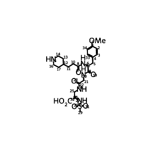 COc1ccc(C[C@H](NC(=O)CCC2CCNCC2)C(=O)NCC(=O)NC[C@H](NS(C)(=O)=O)C(=O)O)cc1